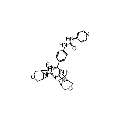 O=C(Nc1ccncc1)Nc1ccc(-c2nc(N3C4COCC3C(F)(F)C4)nc(N3C4COCC3C(F)(F)C4)n2)cc1